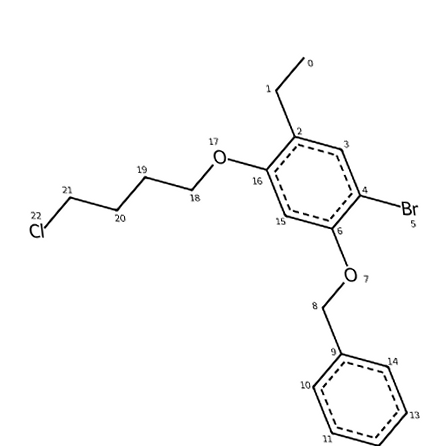 CCc1cc(Br)c(OCc2ccccc2)cc1OCCCCCl